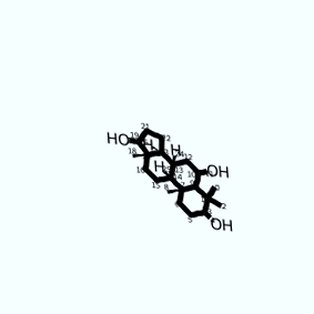 CC1(C)C(O)CC[C@@]2(C)C1C(O)C[C@@H]1[C@H]2CC[C@]2(C)C(O)CC[C@@H]12